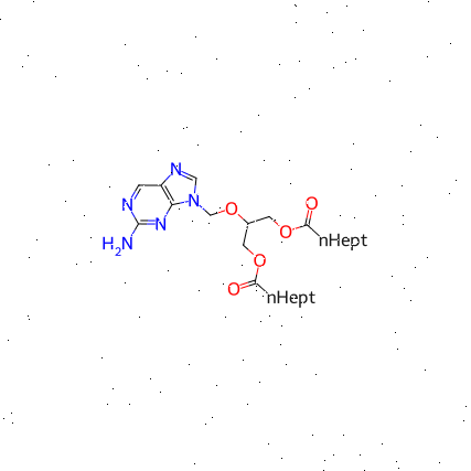 CCCCCCCC(=O)OCC(COC(=O)CCCCCCC)OCn1cnc2cnc(N)nc21